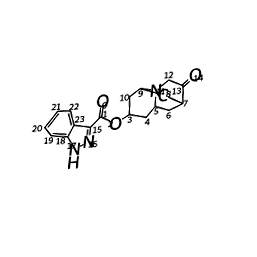 O=C(OC1CC2CC3CC(C1)N2CC3=O)c1n[nH]c2ccccc12